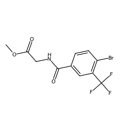 COC(=O)CNC(=O)c1ccc(Br)c(C(F)(F)F)c1